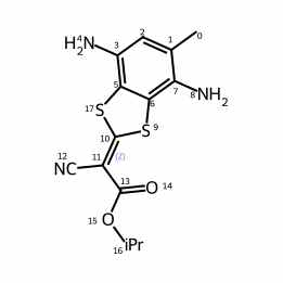 Cc1cc(N)c2c(c1N)S/C(=C(/C#N)C(=O)OC(C)C)S2